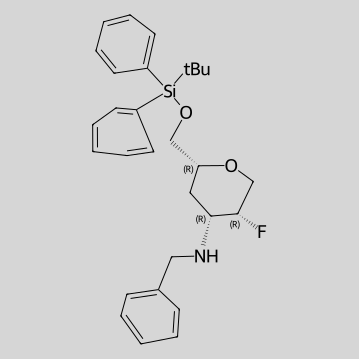 CC(C)(C)[Si](OC[C@H]1C[C@@H](NCc2ccccc2)[C@@H](F)CO1)(c1ccccc1)c1ccccc1